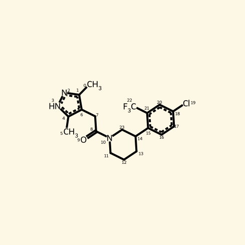 Cc1n[nH]c(C)c1CC(=O)N1CCCC(c2ccc(Cl)cc2C(F)(F)F)C1